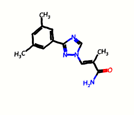 C/C(=C\n1cnc(-c2cc(C)cc(C)c2)n1)C(N)=O